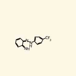 N=C1C=CC=C/C1=N/Nc1ccc(C(F)(F)F)cc1